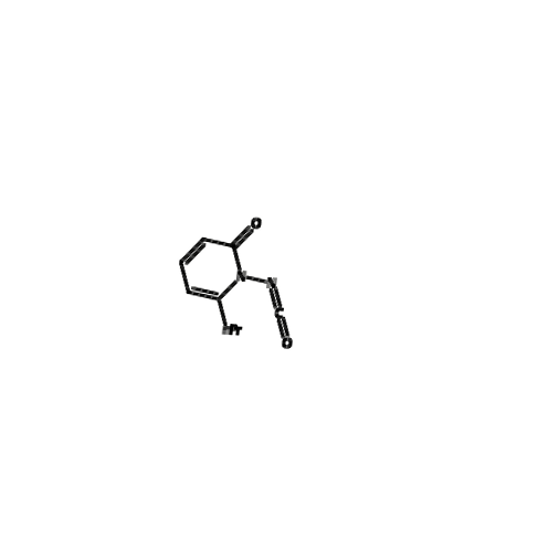 CCCc1cccc(=O)n1N=C=O